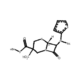 CCCCSC(=O)C1(C(=O)O)CS[C@@H]2C(N(C(C)=O)c3cccs3)C(=O)N2C1